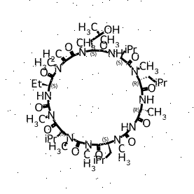 C=C1C(=O)N(C)[C@@H](CC(C)(C)O)C(=O)N[C@@H](C(C)C)C(=O)N(C)[C@H](CC(C)C)C(=O)N[C@H](C)C(=O)NC(=O)N(C)[C@@H](CC(C)C)C(=O)N(C)C(=O)N(C)[C@@H](C(C)C)C(=O)N(C)C(=O)N[C@@H](CC)C(=O)N1C